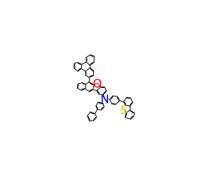 c1ccc(-c2ccc(N(c3ccc(-c4cccc5c4sc4ccccc45)cc3)c3ccc4oc5c(-c6ccc7c8ccccc8c8ccccc8c7c6)c6ccccc6cc5c4c3)cc2)cc1